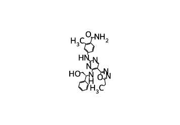 CCc1nnc(-c2cnc(Nc3ccc(C(N)=O)c(C)c3)nc2N[C@H](CO)c2ccccc2)o1